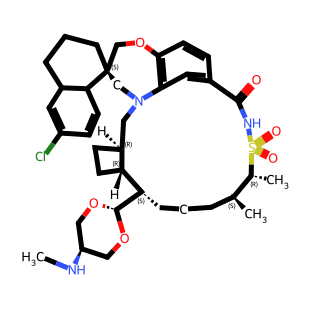 CN[C@H]1CO[C@H]([C@H]2CCC[C@H](C)[C@@H](C)S(=O)(=O)NC(=O)c3ccc4c(c3)N(C[C@@H]3CC[C@H]32)C[C@@]2(CCCC3C=C(Cl)C=CC32)CO4)OC1